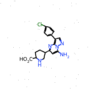 Nc1cc(C2CCC(C(=O)O)NC2)nc2c(-c3ccc(Cl)cc3)cnn12